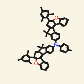 Cc1ccc(N(c2ccc3c(c2)C(C)(C)c2cc(-c4c(C)cc(C)cc4C)c4oc5ccccc5c4c2-3)c2ccc3c(c2)C(C)(C)c2cc(-c4c(C)cc(C)cc4C)c4oc5ccccc5c4c2-3)cc1